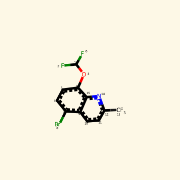 FC(F)Oc1ccc(Br)c2ccc(C(F)(F)F)nc12